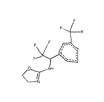 FC(F)(F)c1cccc(C(NC2=NCCO2)C(F)(F)F)c1